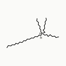 CCCCCCCCCCCCCCCCCCP[PH](CCCCCCCC)(CCCCCCCC)CCCCCCCC